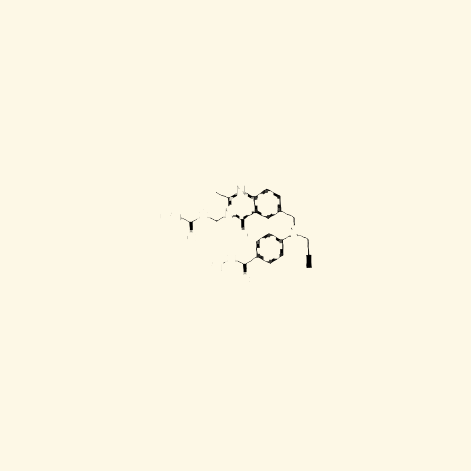 C#CCN(Cc1ccc2nc(C)n(COC(=O)C(C)(C)C)c(=O)c2c1)c1ccc(C(=O)OC(C)(C)C)cc1